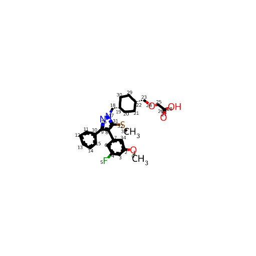 COc1cc(F)cc(-c2c(-c3ccccc3)nn(C[C@H]3CC[C@@H](COCC(=O)O)CC3)c2SC)c1